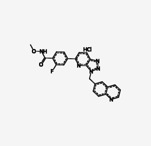 CONC(=O)c1ccc(-c2ccc3nnn(Cc4ccc5ncccc5c4)c3n2)cc1F.Cl